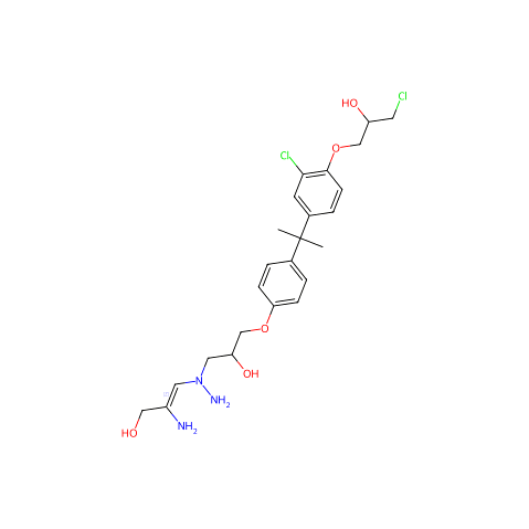 CC(C)(c1ccc(OCC(O)CN(N)/C=C(\N)CO)cc1)c1ccc(OCC(O)CCl)c(Cl)c1